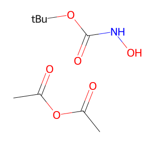 CC(=O)OC(C)=O.CC(C)(C)OC(=O)NO